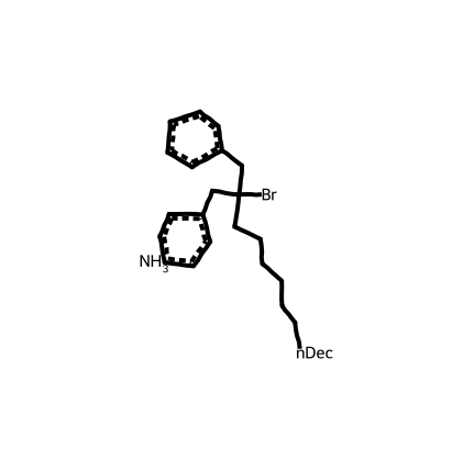 CCCCCCCCCCCCCCCCC(Br)(Cc1ccccc1)Cc1ccccc1.N